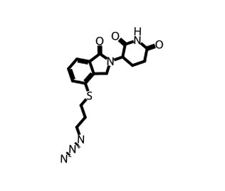 [N-]=[N+]=NCCCSc1cccc2c1CN(C1CCC(=O)NC1=O)C2=O